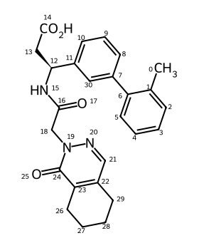 Cc1ccccc1-c1cccc([C@H](CC(=O)O)NC(=O)Cn2ncc3c(c2=O)CCCC3)c1